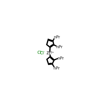 CCCC1=CC[C]([Zr+2][C]2=C(CCC)C(CCC)=CC2)=C1CCC.[Cl-].[Cl-]